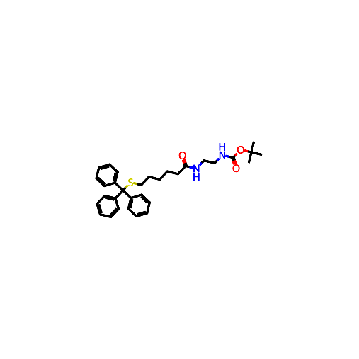 CC(C)(C)OC(=O)NCCNC(=O)CCCCCSC(c1ccccc1)(c1ccccc1)c1ccccc1